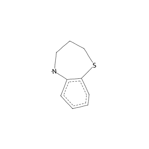 c1ccc2c(c1)[N]CCCS2